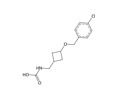 O=C(O)NCC1CC(OCc2ccc(Cl)cc2)C1